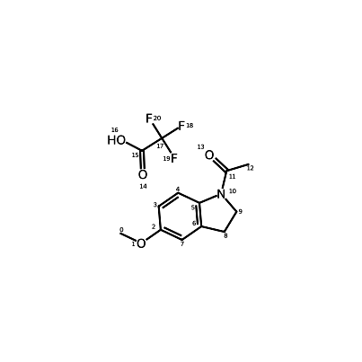 COc1ccc2c(c1)CCN2C(C)=O.O=C(O)C(F)(F)F